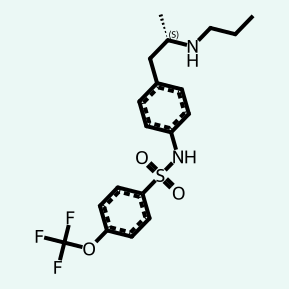 CCCN[C@@H](C)Cc1ccc(NS(=O)(=O)c2ccc(OC(F)(F)F)cc2)cc1